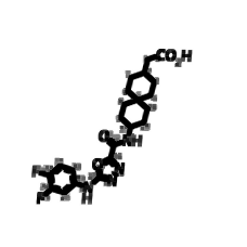 O=C(O)CC1CCC2(CC1)CCC(NC(=O)c1nnc(Nc3ccc(F)c(F)c3)o1)CC2